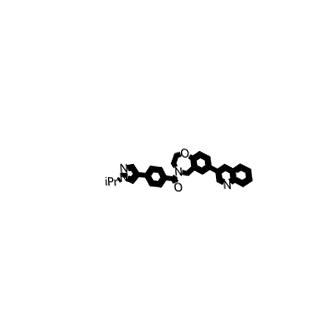 CC(C)n1cc(-c2ccc(C(=O)N3CCOc4ccc(-c5cnc6ccccc6c5)cc4C3)cc2)cn1